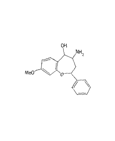 COc1ccc2c(c1)OC(c1ccccc1)CC(N)C2O